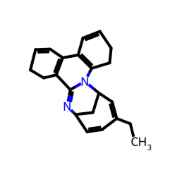 CCC1=CC2CC(C=C1)N=C1C3=C(C=CCC3)C3=C(CCC=C3)N12